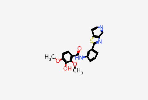 COc1ccc(C(=O)Nc2cccc(-c3nc4cnccc4s3)c2)c(OC)c1O